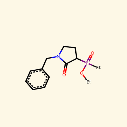 CCOP(=O)(CC)C1CCN(Cc2ccccc2)C1=O